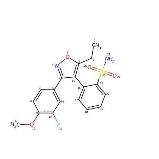 CCc1onc(-c2ccc(OC)c(F)c2)c1-c1ccccc1S(N)(=O)=O